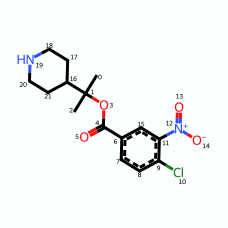 CC(C)(OC(=O)c1ccc(Cl)c([N+](=O)[O-])c1)C1CCNCC1